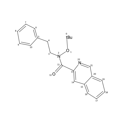 CC(C)(C)ON(CCc1ccccc1)C(=O)c1cc2ccccc2cn1